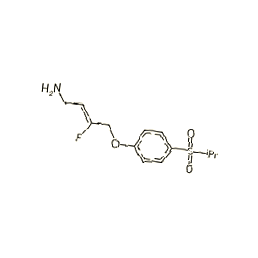 CC(C)S(=O)(=O)c1ccc(OCC(F)=CCN)cc1